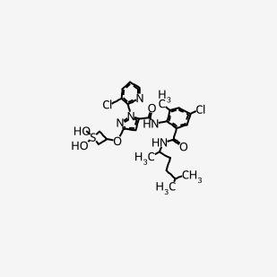 Cc1cc(Cl)cc(C(=O)NC(C)CCC(C)C)c1NC(=O)c1cc(OC2CS(O)(O)C2)nn1-c1ncccc1Cl